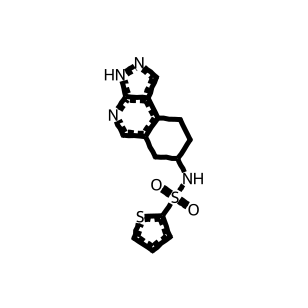 O=S(=O)(NC1CCc2c(cnc3[nH]ncc23)C1)c1cccs1